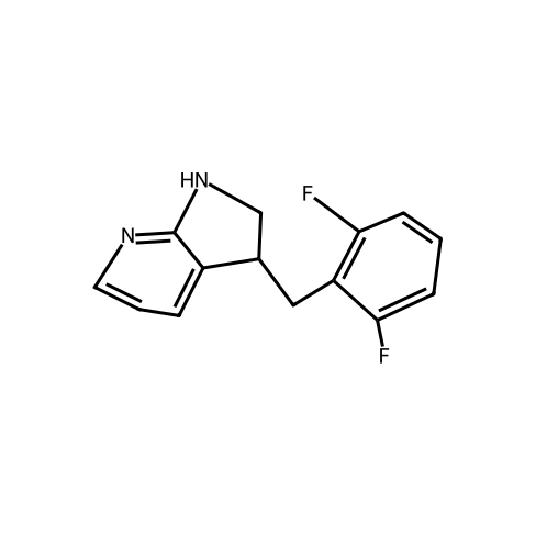 Fc1cccc(F)c1CC1CNc2ncccc21